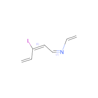 C=C/N=C\C=C(\I)C=C